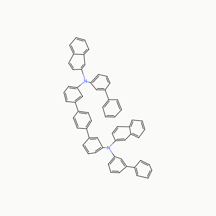 c1ccc(-c2cccc(N(c3cccc(-c4ccc(-c5cccc(N(c6cccc(-c7ccccc7)c6)c6ccc7ccccc7c6)c5)cc4)c3)c3ccc4ccccc4c3)c2)cc1